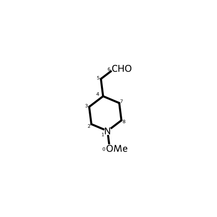 CON1CCC(CC=O)CC1